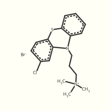 C[N+](C)(C)CCCN1c2ccccc2Sc2ccc(Cl)cc21.[Br-]